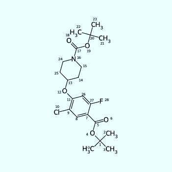 CC(C)(C)OC(=O)c1cc(Cl)c(OC2CCN(C(=O)OC(C)(C)C)CC2)cc1F